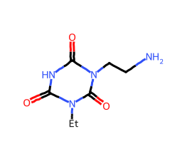 CCn1c(=O)[nH]c(=O)n(CCN)c1=O